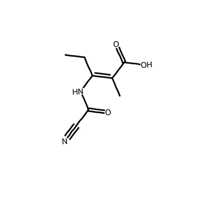 CCC(NC(=O)C#N)=C(C)C(=O)O